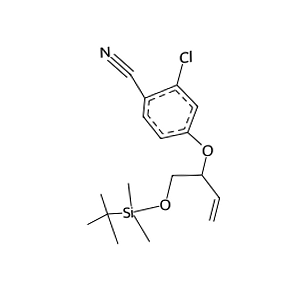 C=CC(CO[Si](C)(C)C(C)(C)C)Oc1ccc(C#N)c(Cl)c1